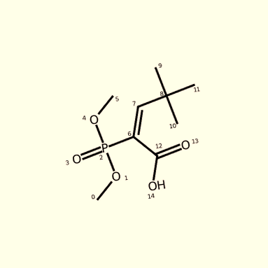 COP(=O)(OC)C(=CC(C)(C)C)C(=O)O